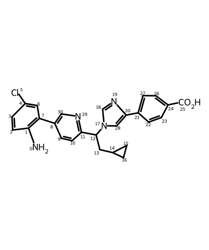 Nc1ccc(Cl)cc1-c1ccc(C(CC2CC2)n2cnc(-c3ccc(C(=O)O)cc3)c2)nc1